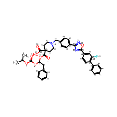 CC(C)OC(=O)OC(Cc1ccccc1)OC(=O)C1(C(=O)O)CCN(Cc2ccc(-c3noc(-c4ccc(-c5ccccc5)c(F)c4)n3)cc2)CC1